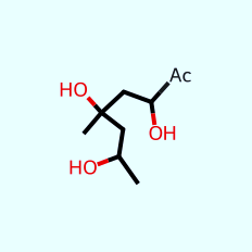 CC(=O)C(O)CC(C)(O)CC(C)O